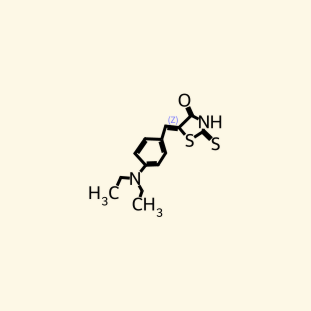 CCN(CC)c1ccc(/C=C2\SC(=S)NC2=O)cc1